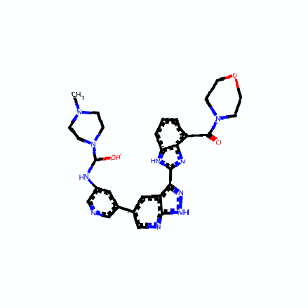 CN1CCN(C(O)Nc2cncc(-c3cnc4[nH]nc(-c5nc6c(C(=O)N7CCOCC7)cccc6[nH]5)c4c3)c2)CC1